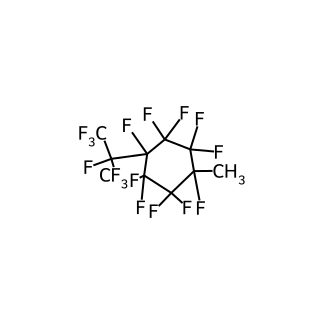 CC1(F)C(F)(F)C(F)(F)C(F)(C(F)(C(F)(F)F)C(F)(F)F)C(F)(F)C1(F)F